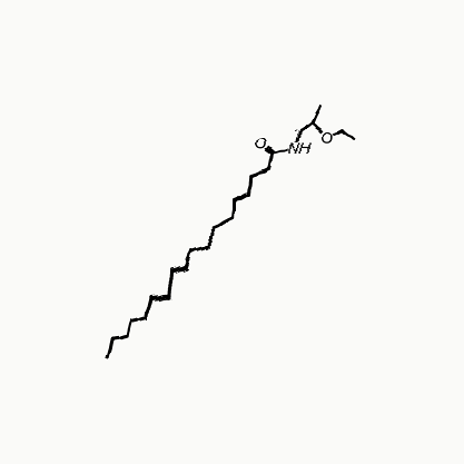 CCCCCCCCCCCCCCCCCC(=O)N[CH]C(C)OCC